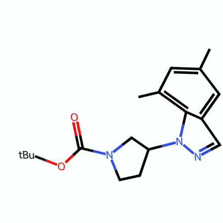 Cc1cc(C)c2c(cnn2C2CCN(C(=O)OC(C)(C)C)C2)c1